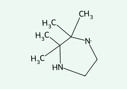 CC1(C)[N]CCNC1(C)C